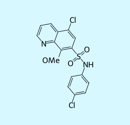 COc1c(S(=O)(=O)Nc2ccc(Cl)cc2)cc(Cl)c2cccnc12